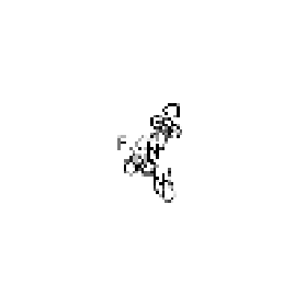 CC1COCCN1c1cc(N2CCN(S(=O)(=O)N3CCCC3)C[C@H]2C(F)(F)F)[nH]c(=O)c1